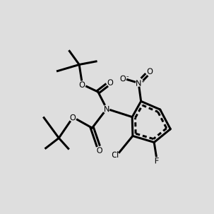 CC(C)(C)OC(=O)N(C(=O)OC(C)(C)C)c1c([N+](=O)[O-])ccc(F)c1Cl